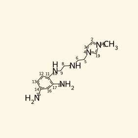 C[n+]1ccn(CCNCCNc2ccc(N)cc2N)c1